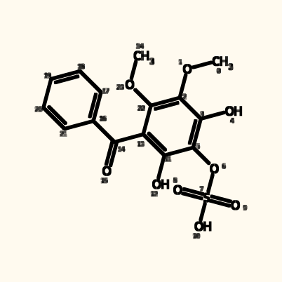 COc1c(O)c(OS(=O)(=O)O)c(O)c(C(=O)c2ccccc2)c1OC